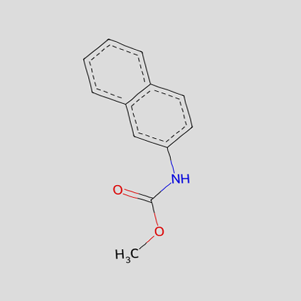 COC(=O)Nc1ccc2ccccc2c1